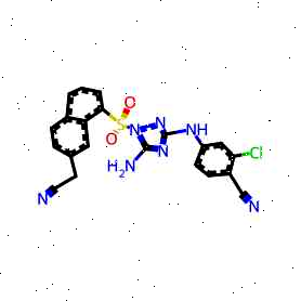 N#CCc1ccc2cccc(S(=O)(=O)n3nc(Nc4ccc(C#N)c(Cl)c4)nc3N)c2c1